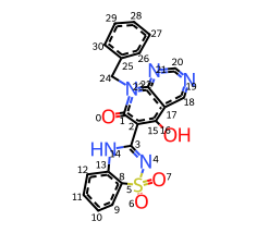 O=c1c(C2=NS(=O)(=O)c3ccccc3N2)c(O)c2cncnc2n1Cc1ccccc1